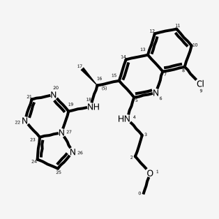 COCCNc1nc2c(Cl)cccc2cc1[C@H](C)Nc1ncnc2ccnn12